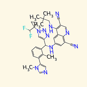 Cc1c(-c2cncn2C)cccc1C(Nc1cc(C#N)c2ncc(C#N)c(NCC(C)(C)C)c2c1)c1cn(C2(C(F)F)CC2)nn1